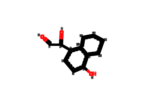 O=CC(=O)c1ccc(O)c2ccccc12